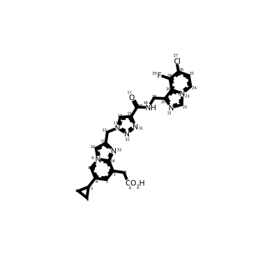 O=C(O)Cc1cc(C2CC2)cn2cc(Cn3cc(C(=O)NCc4ncn5ccc(Cl)c(F)c45)nn3)nc12